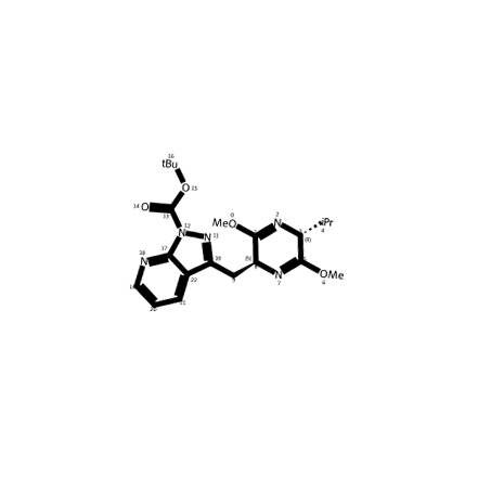 COC1=N[C@H](C(C)C)C(OC)=N[C@H]1Cc1nn(C(=O)OC(C)(C)C)c2ncccc12